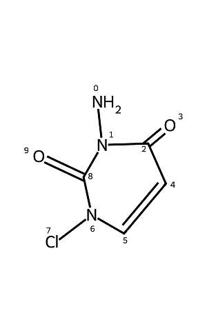 Nn1c(=O)ccn(Cl)c1=O